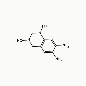 Nc1cc2c(cc1N)N(O)CN(O)C2